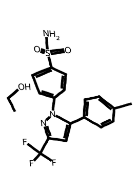 CCO.Cc1ccc(-c2cc(C(F)(F)F)nn2-c2ccc(S(N)(=O)=O)cc2)cc1